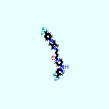 O=C(CCCN1CC2CN(c3ccc(C(F)(F)F)cc3)CC2C1)N1CCC(Nc2ccc(C(F)(F)F)cn2)CC1